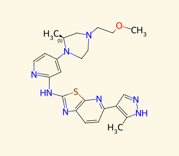 COCCN1CCN(c2ccnc(Nc3nc4ccc(-c5cn[nH]c5C)nc4s3)c2)[C@@H](C)C1